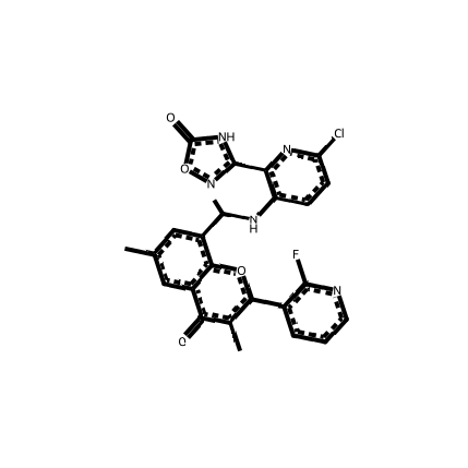 Cc1cc(C(C)Nc2ccc(Cl)nc2-c2noc(=O)[nH]2)c2oc(-c3cccnc3F)c(C)c(=O)c2c1